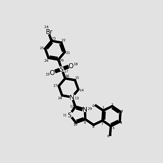 Cc1cccc(C)c1Cc1csc(N2CCC(S(=O)(=O)c3ccc(Br)cc3)CC2)n1